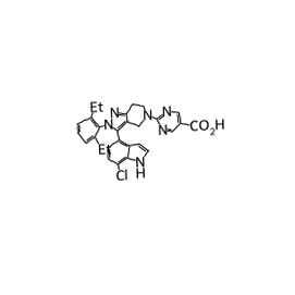 CCc1cccc(CC)c1-n1nc2c(c1-c1ccc(Cl)c3[nH]ccc13)CN(c1ncc(C(=O)O)cn1)CC2